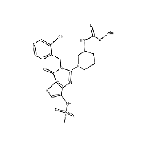 CC(C)(C)OC(=O)NC1CCCN(c2nc3c(NS(C)(=O)=O)csc3c(=O)n2Cc2ccccc2C#N)C1